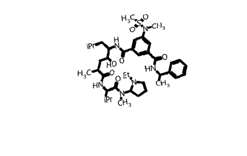 CCN1CCCC1N(C)C(=O)C(NC(=O)C(C)CC(O)C(CC(C)C)NC(=O)c1cc(C(=O)NC(C)c2ccccc2)cc(N(C)S(C)(=O)=O)c1)C(C)C